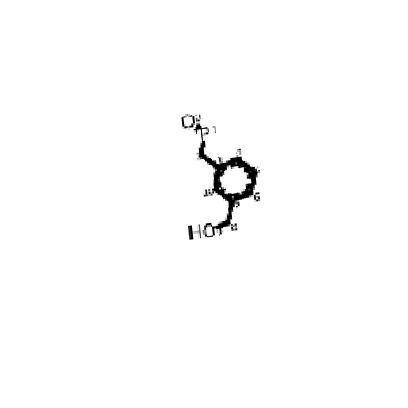 O=PCc1cccc(CO)c1